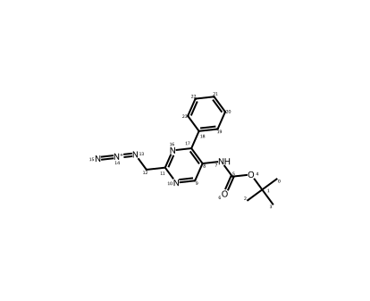 CC(C)(C)OC(=O)Nc1cnc(CN=[N+]=[N-])nc1-c1ccccc1